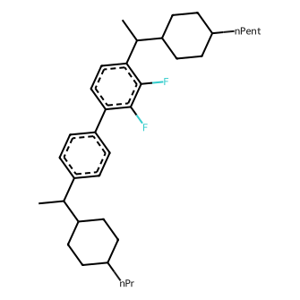 CCCCCC1CCC(C(C)c2ccc(-c3ccc(C(C)C4CCC(CCC)CC4)cc3)c(F)c2F)CC1